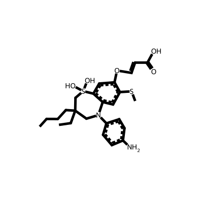 CCCCC1(CC)CN(c2ccc(N)cc2)c2cc(SC)c(OC=CC(=O)O)cc2S(O)(O)C1